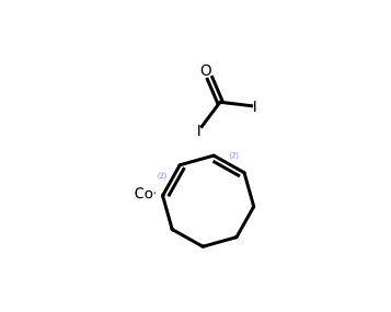 C1=C\CCCC\C=C/1.O=C(I)I.[Co]